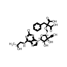 C#C[C@@]1(O)[C@@H](COC(Cc2ccccc2)(C(=O)O)C(=O)O)O[C@@H](n2cnc3c(NC[C@@H](C)O)nc(Cl)nc32)[C@@H]1O